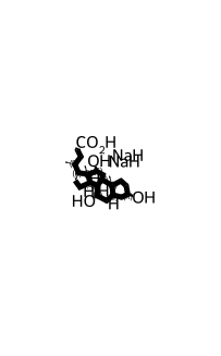 C[C@H](CCC(=O)O)[C@H]1CC[C@H]2[C@@H]3[C@H](O)C[C@@H]4C[C@H](O)CC[C@]4(C)[C@H]3C[C@H](O)[C@]12C.[NaH].[NaH]